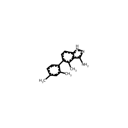 Cc1ccc(-c2ccc3[nH]nc(N)c3c2C)c(C)c1